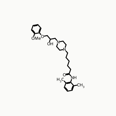 COc1ccccc1OCC(O)CN1CCN(CCCCCC(=O)Nc2c(C)cccc2C)CC1